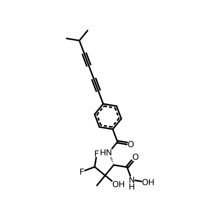 CC(C)C#CC#Cc1ccc(C(=O)N[C@H](C(=O)NO)C(C)(O)C(F)F)cc1